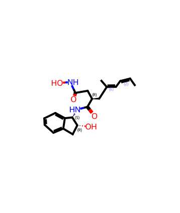 C/C=C\C=C(/C)C[C@H](CC(=O)NO)C(=O)N[C@H]1c2ccccc2C[C@H]1O